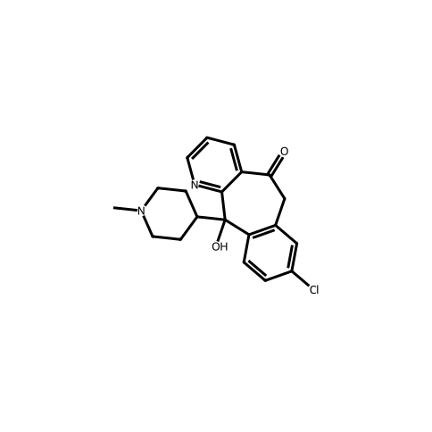 CN1CCC(C2(O)c3ccc(Cl)cc3CC(=O)c3cccnc32)CC1